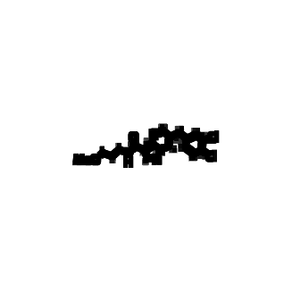 COCCCNC(=O)c1cnn2cc(Cc3ccc(Cl)c(Cl)c3)cnc12